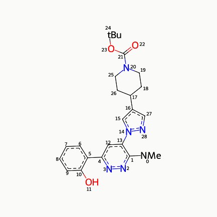 CNc1nnc(-c2ccccc2O)cc1-n1cc(C2CCN(C(=O)OC(C)(C)C)CC2)cn1